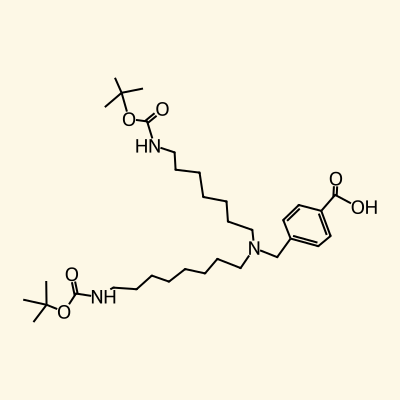 CC(C)(C)OC(=O)NCCCCCCCCN(CCCCCCCNC(=O)OC(C)(C)C)Cc1ccc(C(=O)O)cc1